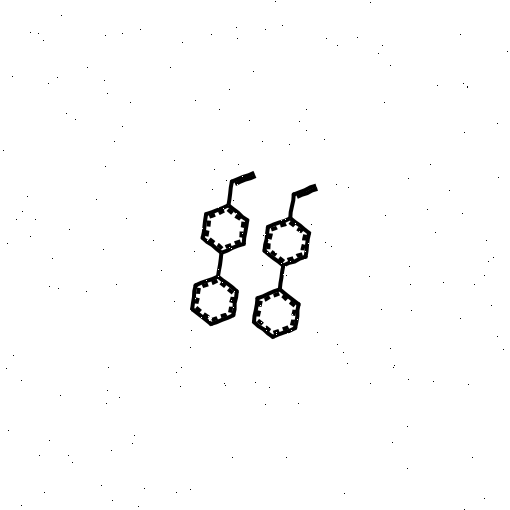 C=Cc1ccc(-c2ccccc2)cc1.C=Cc1ccc(-c2ccccc2)cc1